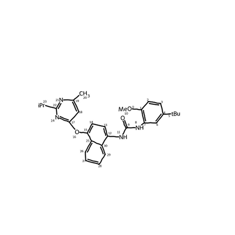 COc1ccc(C(C)(C)C)cc1NC(=O)Nc1ccc(Oc2cc(C)nc(C(C)C)n2)c2ccccc12